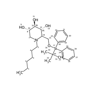 CCCCCCN1C[C@H](O)[C@@H](O)[C@H](O)C1CO[Si](c1ccccc1)(c1ccccc1)C(C)(C)C